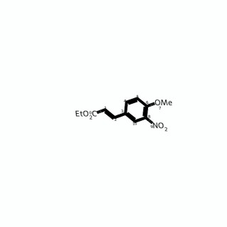 CCOC(=O)/C=C/c1ccc(OC)c([N+](=O)[O-])c1